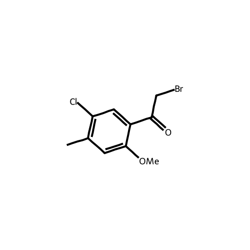 COc1cc(C)c(Cl)cc1C(=O)CBr